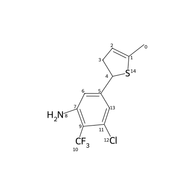 CC1=CCC(c2cc(N)c(C(F)(F)F)c(Cl)c2)S1